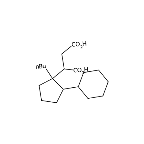 CCCCC1(C(CC(=O)O)C(=O)O)CCCC1C1CCCCC1